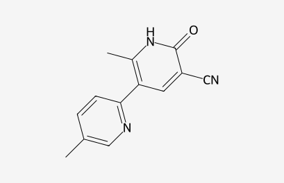 Cc1ccc(-c2cc(C#N)c(=O)[nH]c2C)nc1